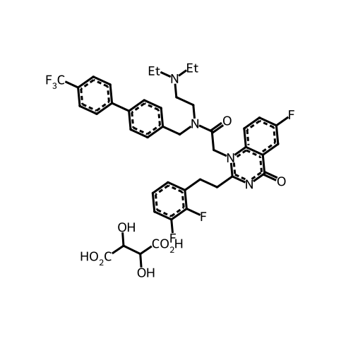 CCN(CC)CCN(Cc1ccc(-c2ccc(C(F)(F)F)cc2)cc1)C(=O)Cn1c(CCc2cccc(F)c2F)nc(=O)c2cc(F)ccc21.O=C(O)C(O)C(O)C(=O)O